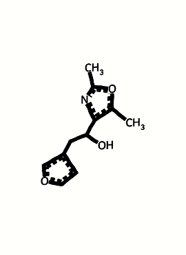 Cc1nc(C(O)Cc2ccoc2)c(C)o1